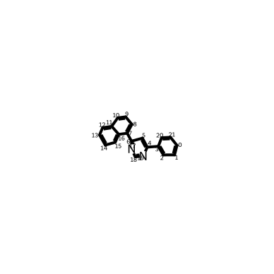 c1ccc(-c2cc(-c3cccc4ccccc34)ncn2)cc1